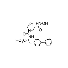 CC(C)CN(CCC(=O)NO)C(=O)N[C@@H](Cc1ccc(-c2ccccc2)cc1)C(=O)O